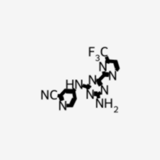 N#Cc1cc(Nc2nc(N)nc(-c3nccc(C(F)(F)F)n3)n2)ccn1